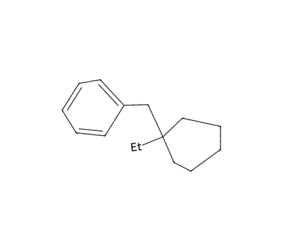 CCC1(Cc2ccccc2)CCCCC1